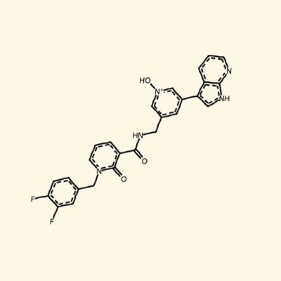 O=C(NCc1cc(-c2c[nH]c3ncccc23)c[n+](O)c1)c1cccn(Cc2ccc(F)c(F)c2)c1=O